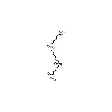 NC(=O)CCCCCS(=O)(=O)CCCCCCS(=O)(=O)CCCCCC(N)=O